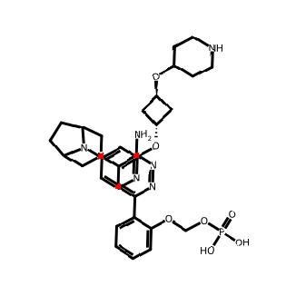 Nc1nnc(-c2ccccc2OCOP(=O)(O)O)cc1N1CC2CCC(C1)N2c1ccnc(O[C@H]2C[C@H](OC3CCNCC3)C2)c1